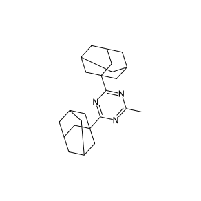 Cc1nc(C23CC4CC(CC(C4)C2)C3)nc(C23CC4CC(CC(C4)C2)C3)n1